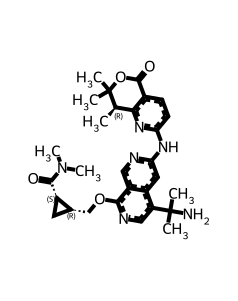 C[C@@H]1c2nc(Nc3cc4c(C(C)(C)N)cnc(OC[C@@H]5C[C@@H]5C(=O)N(C)C)c4cn3)ccc2C(=O)OC1(C)C